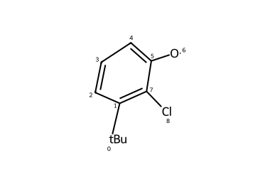 CC(C)(C)c1cccc([O])c1Cl